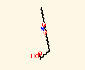 CCCCCCCCCOCC(COCCCCCCCC/C=C\CCCCC(C)C(=O)O)N(C)C